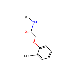 CC(C)NC(=O)COc1ccccc1C=O